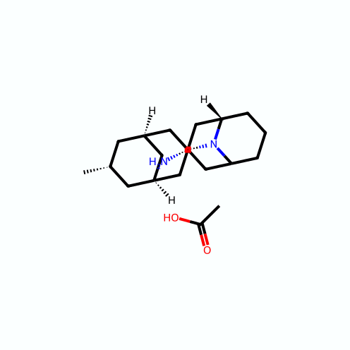 CC(=O)O.C[C@@H]1C[C@@H]2C[C@H](C1)C[C@@H](N1C3CCC[C@H]1C[C@@H](N)C3)C2